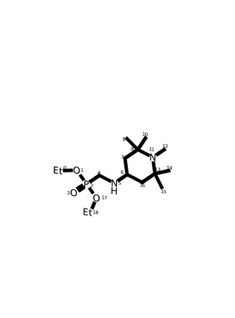 CCOP(=O)(CNC1CC(C)(C)N(C)C(C)(C)C1)OCC